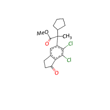 COC(=O)C(C)(c1cc2c(c(Cl)c1Cl)C(=O)CC2)C1CCCC1